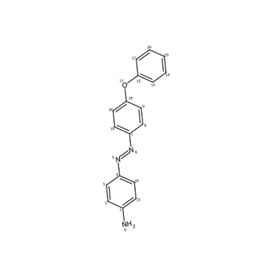 Nc1ccc(N=Nc2ccc(Oc3cc[c]cc3)cc2)cc1